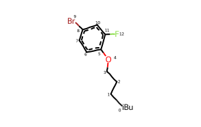 CCC(C)CCCOc1ccc(Br)cc1F